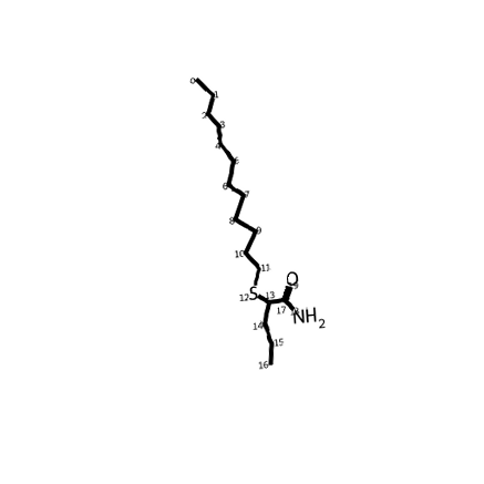 CCCCCCCCCCCCSC(CCC)C(N)=O